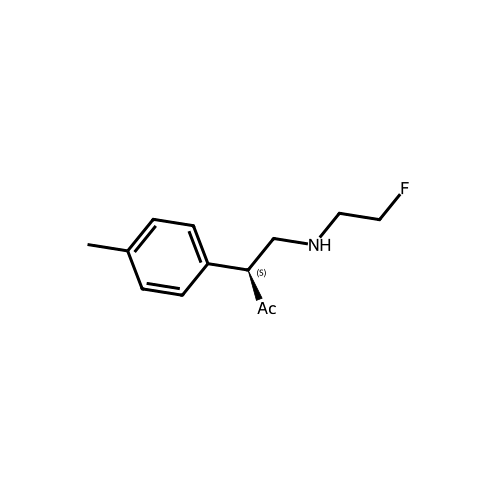 CC(=O)[C@H](CNCCF)c1ccc(C)cc1